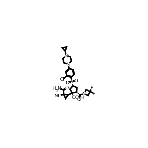 N#CC1(C(N)=O)CC1[C@]1(C(=O)O)C[C@H](S(=O)(=O)c2ccc(N3CCN(C4CC4)CC3)cc2Cl)C[C@H]1C(=O)N1CC(F)(F)C1